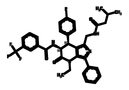 CCN1C(=O)[C@@H](NC(=O)c2cccc(C(F)(F)F)c2)[C@@H](c2ccc(F)cc2)c2c(CNC(=O)CC(C)C)nn(-c3ccccc3)c21